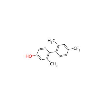 Cc1cc(O)ccc1-c1ccc(C(F)(F)F)cc1C